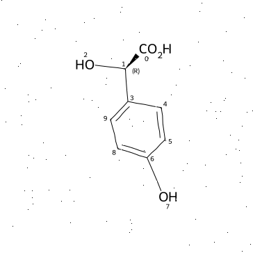 O=C(O)[C@H](O)c1ccc(O)cc1